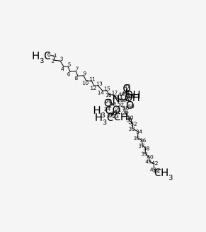 CCCCCCCCCCCCCCCCCCN(C(=O)OC(C)(C)C)[C@@](CCCCCCCCCCCCCCCCCC)(CC(=O)O)C(=O)O